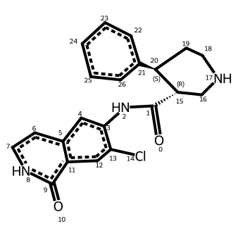 O=C(Nc1cc2cc[nH]c(=O)c2cc1Cl)[C@H]1CNCC[C@@H]1c1ccccc1